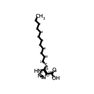 CCCCCCCCCCCCSc1[nH]nnc1C(=O)O